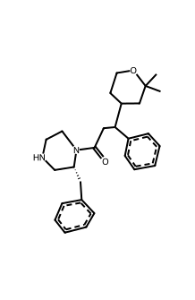 CC1(C)CC(C(CC(=O)N2CCNC[C@H]2Cc2ccccc2)c2ccccc2)CCO1